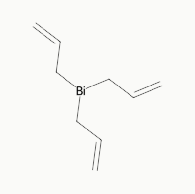 C=C[CH2][Bi]([CH2]C=C)[CH2]C=C